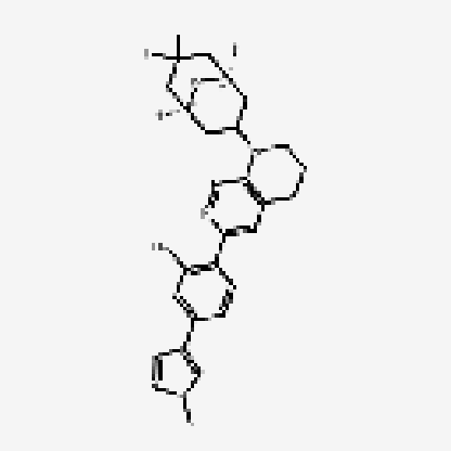 Cn1cc(-c2ccc(-c3cc4c(nn3)N(C3C[C@@H]5CC(F)(F)C[C@H](C3)N5)CCC4)c(O)c2)cn1